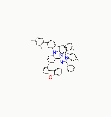 Cc1ccc(-c2ccc3c4ccc(-c5ccc(C)cc5C)cc4n(-c4ccc(-c5cccc6oc7ccccc7c56)cc4-c4nc(-c5ccccc5)nc(-c5ccccc5)n4)c3c2)c(C)c1